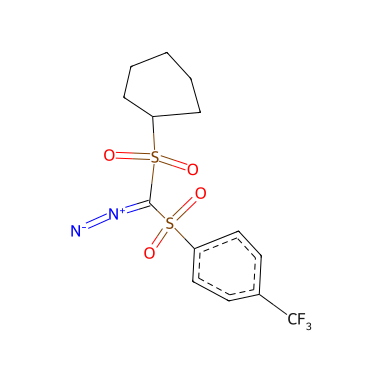 [N-]=[N+]=C(S(=O)(=O)c1ccc(C(F)(F)F)cc1)S(=O)(=O)C1CCCCC1